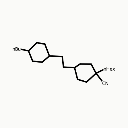 CCCCCCC1(C#N)CCC(CCC2CCC(CCCC)CC2)CC1